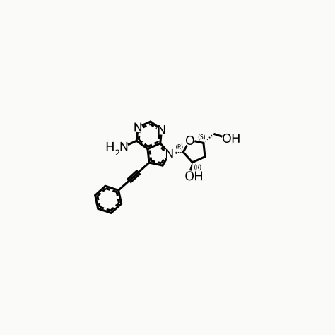 Nc1ncnc2c1c(C#Cc1ccccc1)cn2[C@@H]1O[C@H](CO)C[C@H]1O